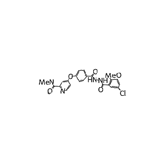 CNC(=O)c1cc(Oc2ccc(C(=O)NNC(=O)c3cc(Cl)ccc3OC)cc2)ccn1